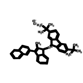 CC1=C(c2ccc3ccccc3c2)c2ccccc2[CH]1[Ti+2][CH]1c2ccc(C(C)(C)C)cc2-c2ccc(C(C)(C)C)cc21.[Cl-].[Cl-]